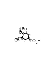 CC(C)(C)ON1CCC(C(=O)O)CC1=C=O